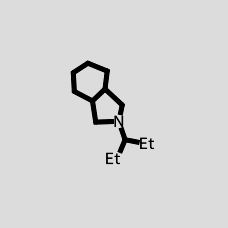 CCC(CC)N1CC2CCCCC2C1